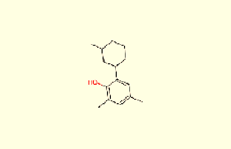 Cc1cc(C)c(O)c(C2CCCC(C)C2)c1